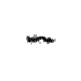 CC1(C)[C@H](NC(=O)c2ccc(N3CCC(CN4CCN(c5cc6c(cc5F)C(=O)N(C5CCC(=O)NC5=O)C6=O)CC4)CC3)nc2)C(C)(C)[C@H]1Oc1ccc(C#N)c2ncccc12